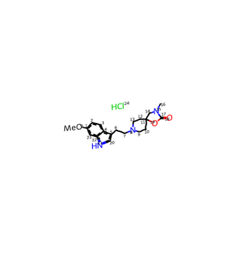 COc1ccc2c(CCN3CCC4(CC3)CN(C)C(=O)O4)c[nH]c2c1.Cl